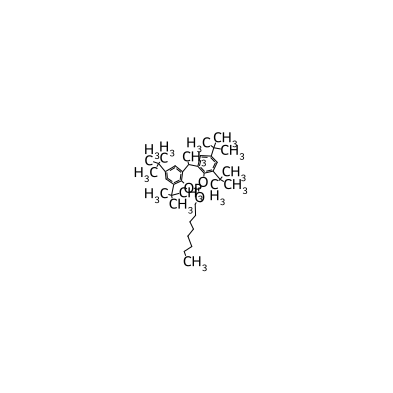 CCCCCCCCOP1Oc2c(cc(C(C)(C)C)cc2C(C)(C)C)C(C)c2cc(C(C)(C)C)cc(C(C)(C)C)c2O1